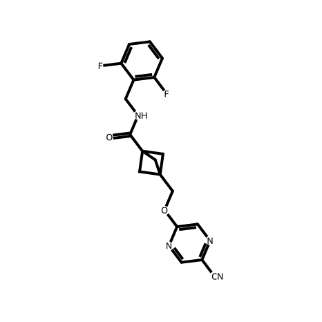 N#Cc1cnc(OCC23CC(C(=O)NCc4c(F)cccc4F)(C2)C3)cn1